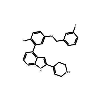 Fc1cccc(COc2ccc(F)c(-c3ccnc4[nH]c(C5=CCNCC5)cc34)c2)c1